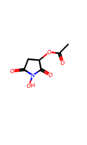 CC(=O)OC1CC(=O)N(O)C1=O